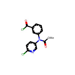 COC(=O)N(c1ccc(Cl)nc1)c1cccc(C(=O)Cl)c1